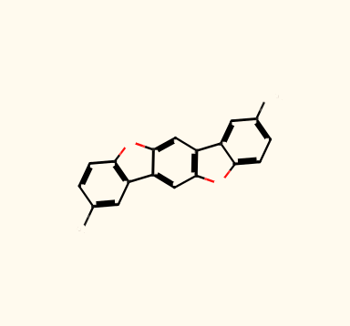 CCCCc1ccc2oc3cc4c(cc3c2c1)oc1ccc(CCCC)cc14